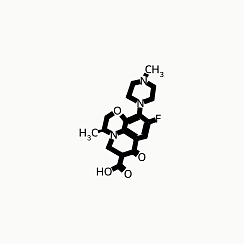 C[C@H]1COc2c(N3CCN(C)CC3)c(F)cc3c2N1CC(C(=O)O)C3=O